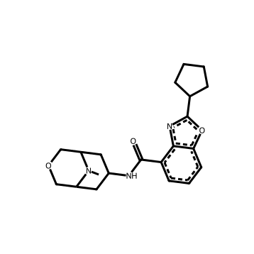 CN1C2COCC1CC(NC(=O)c1cccc3oc(C4CCCC4)nc13)C2